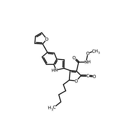 CCCCCC1OC(=C=O)C(C(=O)NOC)=C1c1cc2cc(-c3ccco3)ccc2[nH]1